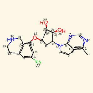 Cc1ncnc2c1ccn2C1CC(Oc2cc(Cl)cc3c2CNCC3)[C@@H](O)[C@H]1O